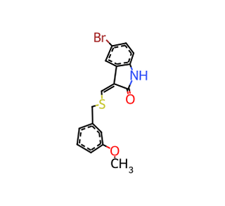 COc1cccc(CSC=C2C(=O)Nc3ccc(Br)cc32)c1